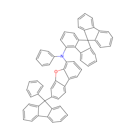 c1ccc(N(c2cccc3c2-c2ccccc2C32c3ccccc3-c3ccccc32)c2cccc3c2oc2cc(C4(c5ccccc5)c5ccccc5-c5ccccc54)ccc23)cc1